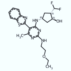 CCOCCNc1nc(C)c(-c2nc3ccccc3s2)c(N[C@@H]2C[C@H](C(F)F)[C@@H](O)C2)n1